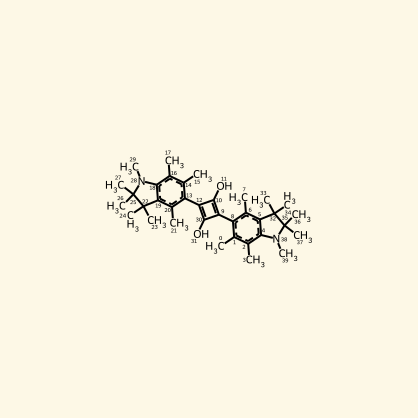 Cc1c(C)c2c(c(C)c1C1=C(O)C(c3c(C)c(C)c4c(c3C)C(C)(C)C(C)(C)N4C)=C1O)C(C)(C)C(C)(C)N2C